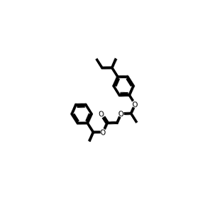 CCC(C)c1ccc(OC(C)OCC(=O)OC(C)c2ccccc2)cc1